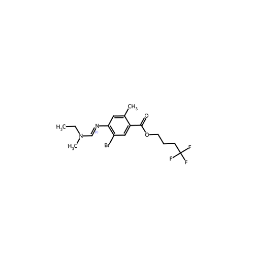 CCN(C)/C=N/c1cc(C)c(C(=O)OCCCC(F)(F)F)cc1Br